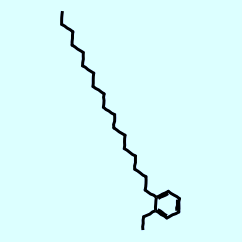 CCCCCCCCCCCCCCCCCCc1ccccc1CC